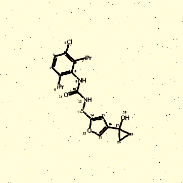 CC(C)c1ccc(Cl)c(C(C)C)c1NC(=O)NSc1cc(C2(O)CC2)co1